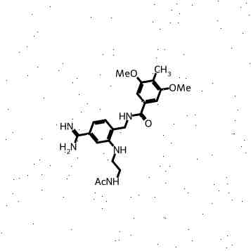 COc1cc(C(=O)NCc2ccc(C(=N)N)cc2NCCNC(C)=O)cc(OC)c1C